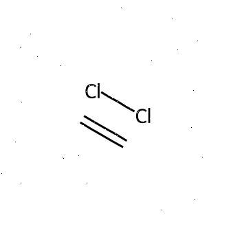 C=C.ClCl